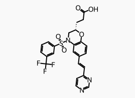 O=C(O)CC[C@H]1CN(S(=O)(=O)c2cccc(C(F)(F)F)c2)c2cc(/C=C/c3ccncn3)ccc2O1